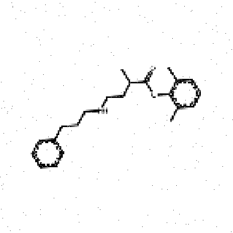 Cc1cccc(C)c1OC(=O)C(C)CCNCCCc1ccccc1